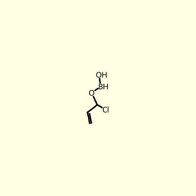 C=CC(Cl)OBO